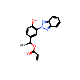 C=CC(=O)OC(CCC)c1ccc(O)c(-n2nc3ccccc3n2)c1